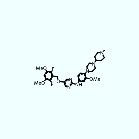 COc1cc(Nc2ncc(OCc3c(F)c(OC)cc(OC)c3F)cn2)ccc1N1CCN(C2CCN(C)CC2)CC1